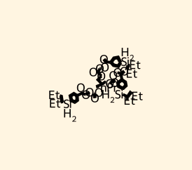 CCC=C(CC)[SiH2]c1ccc(C(=O)OOC(=O)OCC(CCC)(COC(=O)OOC(=O)c2ccc([SiH2]C(=CCC)CC)cc2)COC(=O)OOC(=O)c2ccc([SiH2]C(=CCC)CC)cc2)cc1